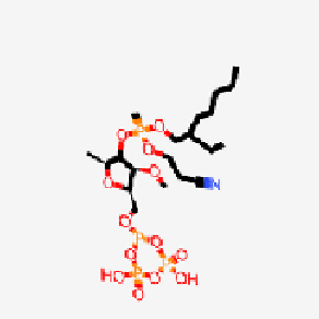 C=P(OCCC#N)(OCC(CC)CCCCC)OC1[C@H](C)O[C@H](COP2OP(=O)(O)OP(=O)(O)O2)[C@@H]1OC